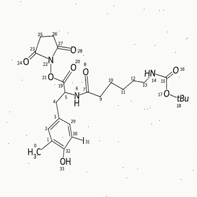 Cc1cc(CC(NC(=O)CCCCCNC(=O)OC(C)(C)C)C(=O)ON2C(=O)CCC2=O)cc(I)c1O